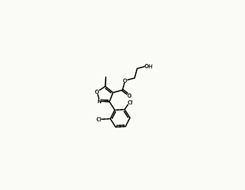 Cc1onc(-c2c(Cl)cccc2Cl)c1C(=O)OCCO